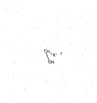 CO.[I-].[K+]